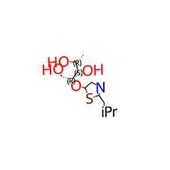 CC(C)CC1=NCC(O[C@H](CO)[C@@H](O)[C@@H](C)O)S1